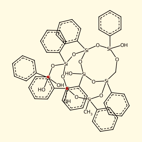 C[Si]1(c2ccccc2)O[Si](O)(c2ccccc2)O[Si](O[Si](O)(O)c2ccccc2)(c2ccccc2)O[Si]2(c3ccccc3)O[Si](O)(c3ccccc3)OC[Si](c3ccccc3)(O1)O[Si](O)(c1ccccc1)O2